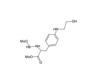 COBNC(Cc1ccc(NCCO)cc1)C(=O)OC